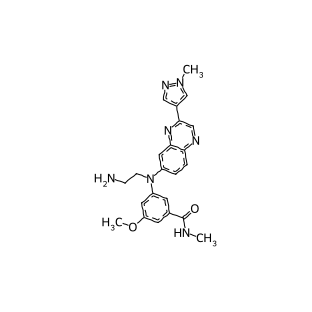 CNC(=O)c1cc(OC)cc(N(CCN)c2ccc3ncc(-c4cnn(C)c4)nc3c2)c1